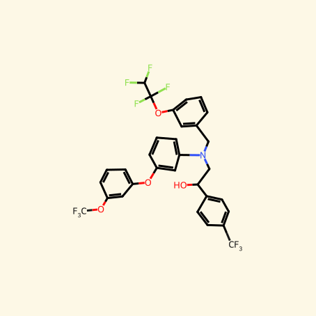 OC(CN(Cc1cccc(OC(F)(F)C(F)F)c1)c1cccc(Oc2cccc(OC(F)(F)F)c2)c1)c1ccc(C(F)(F)F)cc1